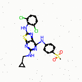 CS(=O)(=O)c1ccc(Nc2nc(NCC3CC3)nc3sc(Nc4c(Cl)cccc4Cl)nc23)cc1